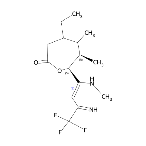 CCC1CC(=O)O[C@H](/C(=C/C(=N)C(F)(F)F)NC)[C@H](C)C1C